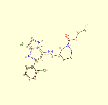 O=C(CSCF)N1CCCC(CNc2cc(-c3ccccc3Cl)nc3c(Br)cnn23)C1